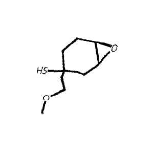 COCC1(S)CCC2OC2C1